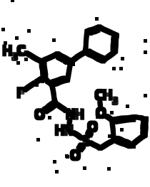 COc1ccccc1CS(=O)(=O)NNC(=O)c1cc(-c2ccccc2)cc(C)c1F